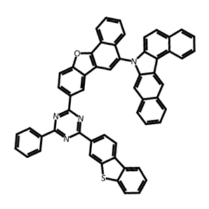 c1ccc(-c2nc(-c3ccc4c(c3)sc3ccccc34)nc(-c3ccc4oc5c6ccccc6c(-n6c7cc8ccccc8cc7c7c8ccccc8ccc76)cc5c4c3)n2)cc1